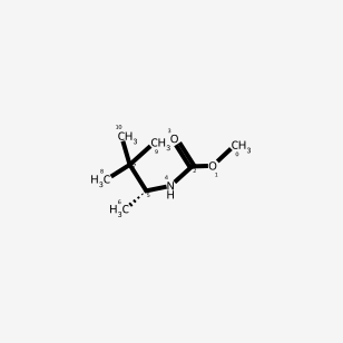 COC(=O)N[C@H](C)C(C)(C)C